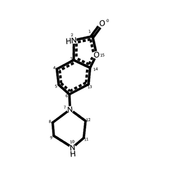 O=c1[nH]c2ccc(N3CCNCC3)cc2o1